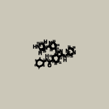 O=C(NC1CCCCC1)c1ccc2c(Nc3cnccn3)nn(-c3ccnc(N4C[C@@H]5C[C@H]4CN5)c3)c2c1